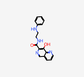 O=C(NCCNc1ccccc1)c1ncc2cccnc2c1O